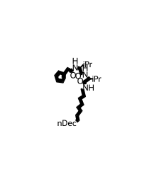 CCCCCCCCCCCCCCCCCCNC(=O)[C@@H](NC(=O)[C@@H](NC(=O)Cc1ccccc1)C(C)C)C(C)C